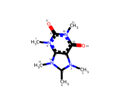 CC1N(C)c2c(n(C)c(=O)n(C)c2=O)N1C